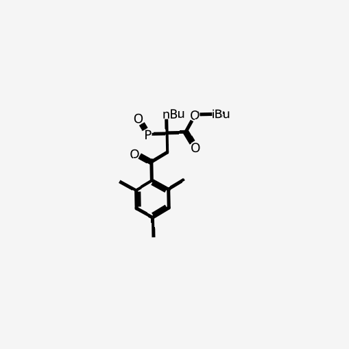 CCCCC(CC(=O)c1c(C)cc(C)cc1C)(P=O)C(=O)OC(C)CC